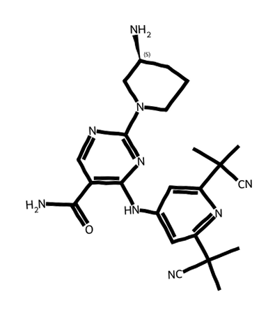 CC(C)(C#N)c1cc(Nc2nc(N3CCC[C@H](N)C3)ncc2C(N)=O)cc(C(C)(C)C#N)n1